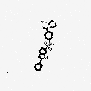 CC(C)[C@H]1COCCN1C(=O)C1CCC(NS(=O)(=O)c2ccc3cc(-c4ccccc4)[nH]c3c2)CC1